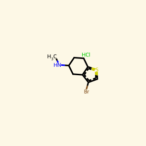 CNC1CCc2scc(Br)c2C1.Cl